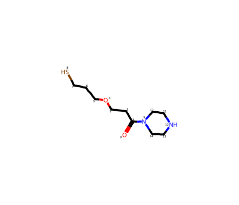 O=C(CCOCCCS)N1CCNCC1